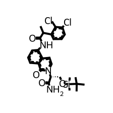 CC(C(=O)Nc1cccc2c(=O)n([C@H](CO[Si](C)(C)C(C)(C)C)C(N)=O)ccc12)c1cccc(Cl)c1Cl